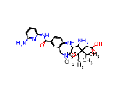 CC(C)C(CC(=O)O)(C(C)C)C(N)C1Nc2ccc(C(=O)Nc3cccc(N)n3)cc2CN(C)C1=O